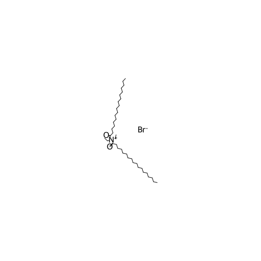 CCCCCCCCCCCCCCCCCC(=O)[N+](CC)(CC)C(=O)CCCCCCCCCCCCCCCCC.[Br-]